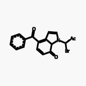 CC(=O)C(Br)N1C=CC2=C(C(=O)c3ccccc3)C=CC(=O)C21